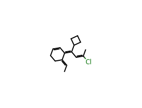 C\C=C1/CCC=C/C1=C(/C=C(\C)Cl)C1CCC1